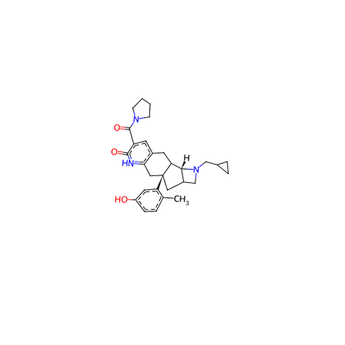 Cc1ccc(O)cc1[C@@]12Cc3[nH]c(=O)c(C(=O)N4CCCC4)cc3CC1[C@H]1C(CN1CC1CC1)C2